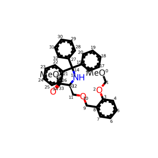 COCOc1ccccc1COC[C@H](NC(c1ccccc1)(c1ccccc1)c1ccccc1)C(=O)OC